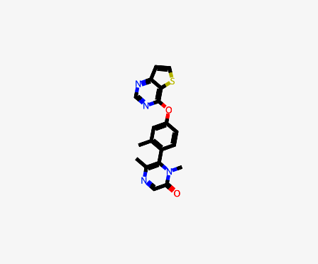 Cc1cc(Oc2ncnc3ccsc23)ccc1-c1c(C)ncc(=O)n1C